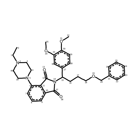 CCN1CCN(c2cccc3c2C(=O)N(C(CCCOCc2ccccc2)c2ccc(OC)c(OC)c2)C3=O)CC1